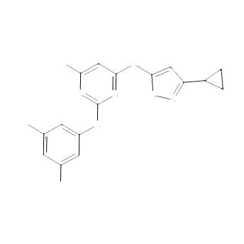 Cc1cc(Nc2cc(C3CC3)n[nH]2)nc(Nc2cc(Cl)cc(Cl)c2)n1